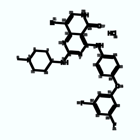 CN1CCC(Nc2nc(Nc3ccc(Oc4cc(F)cc(F)c4)cc3)c3c(=O)[nH]cc(Br)c3n2)CC1.Cl